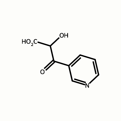 O=C(O)C(O)C(=O)c1cccnc1